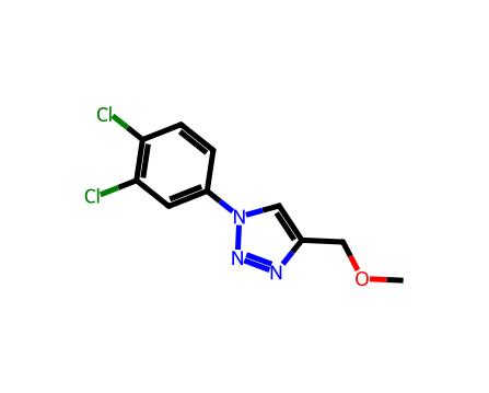 COCc1cn(-c2ccc(Cl)c(Cl)c2)nn1